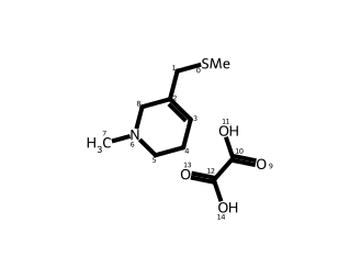 CSCC1=CCCN(C)C1.O=C(O)C(=O)O